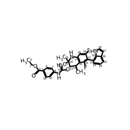 CCOC(=O)c1ccc(NC(=O)OC2C(C)c3c(cc(F)c(-c4cccc5cc[nH]c45)c3F)NC2(C)C)cc1